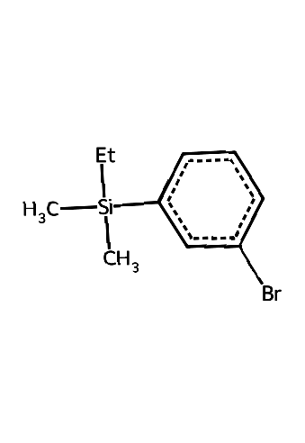 CC[Si](C)(C)c1cccc(Br)c1